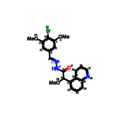 COc1cc(/C=N/NC(=O)C(OC)c2cccc3ncccc23)cc(OC)c1Br